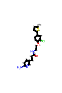 CC(=O)c1ccc(-c2ccc(OCCNC(=O)/C=C/c3ccc(N)nc3)c(Cl)c2)s1